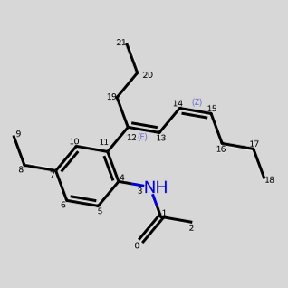 C=C(C)Nc1ccc(CC)cc1/C(=C/C=C\CCC)CCC